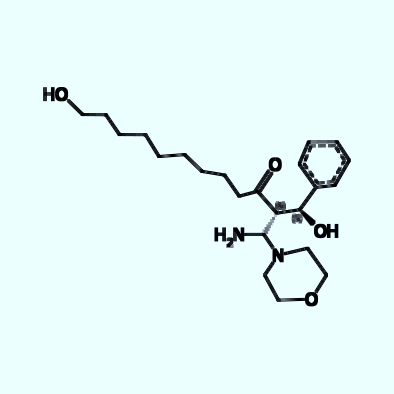 NC([C@H](C(=O)CCCCCCCCCO)[C@H](O)c1ccccc1)N1CCOCC1